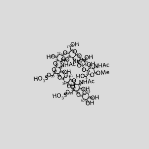 CO[C@H]1OC(CO)[C@@H](O[C@H]2C[C@H](O)[C@@H](O[C@@H]3OC(CO)[C@@H](O[C@H]4C[C@H](O)[C@@H](O[C@@H]5OC(COS(=O)(=O)O)[C@@H](O[C@H]6C[C@H](O)[C@@H](O[C@@H]7OC(COS(=O)(=O)O)[C@@H](O[C@H]8C[C@H](O)[C@H](O)CO8)[C@H](O)C7NC(C)=O)CO6)[C@H](O)C5NC(C)=O)CO4)[C@H](O)C3NC(C)=O)CO2)[C@H](O)C1NC(C)=O